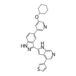 c1cc(-c2cncc3[nH]c(-c4n[nH]c5ccc(-c6cncc(OC7CCCCC7)c6)cc45)cc23)cs1